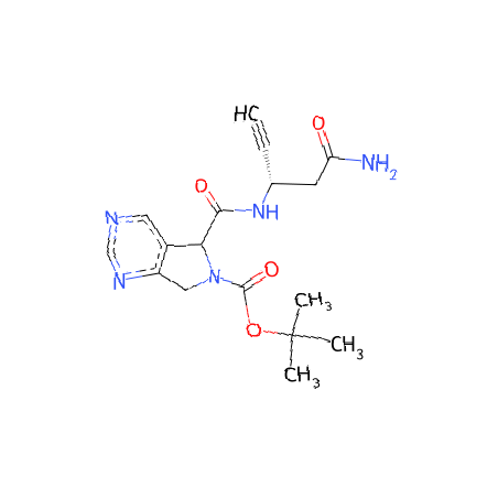 C#C[C@H](CC(N)=O)NC(=O)C1c2cncnc2CN1C(=O)OC(C)(C)C